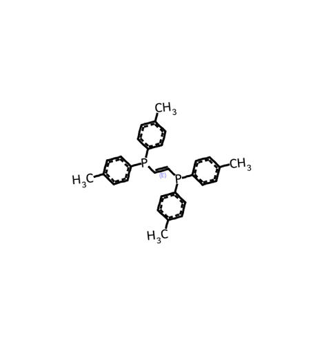 Cc1ccc(P(/C=C/P(c2ccc(C)cc2)c2ccc(C)cc2)c2ccc(C)cc2)cc1